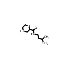 CC(C)CCNC(=O)C1CNCCO1